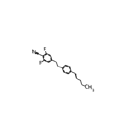 CCCC=Cc1ccc(CCc2cc(F)c(C#N)c(F)c2)cc1